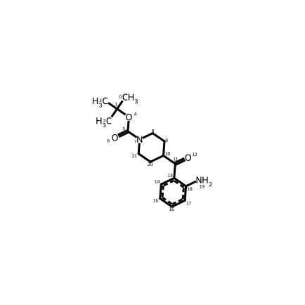 CC(C)(C)OC(=O)N1CCC(C(=O)c2ccccc2N)CC1